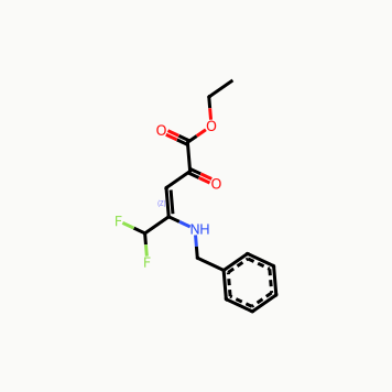 CCOC(=O)C(=O)/C=C(\NCc1ccccc1)C(F)F